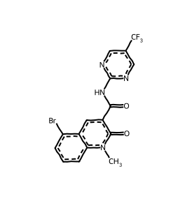 Cn1c(=O)c(C(=O)Nc2ncc(C(F)(F)F)cn2)cc2c(Br)cccc21